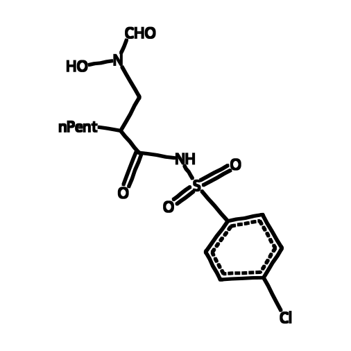 CCCCCC(CN(O)C=O)C(=O)NS(=O)(=O)c1ccc(Cl)cc1